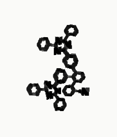 N#Cc1ccccc1-c1cccc(-c2ccc(-c3nc(-c4ccccc4)nc(-c4ccccc4)n3)cc2)c1-c1cccc(-c2nc(-c3ccccc3)nc(-c3ccccc3)n2)c1